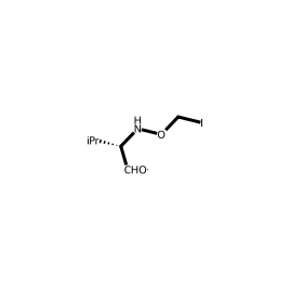 CC(C)[C@@H]([C]=O)NOCI